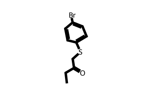 CCC(=O)CSc1ccc(Br)cc1